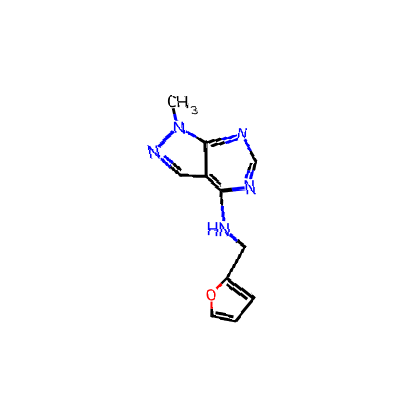 Cn1ncc2c(NCc3ccco3)ncnc21